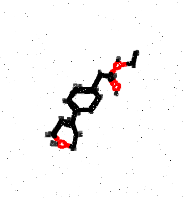 CCOC(=O)Cc1ccc(C2=CCOCC2)cc1